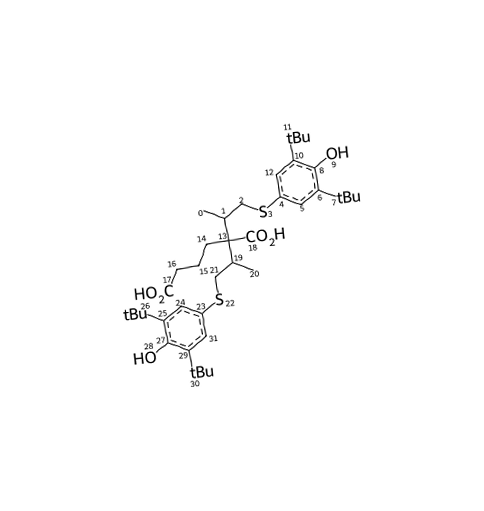 CC(CSc1cc(C(C)(C)C)c(O)c(C(C)(C)C)c1)C(CCCC(=O)O)(C(=O)O)C(C)CSc1cc(C(C)(C)C)c(O)c(C(C)(C)C)c1